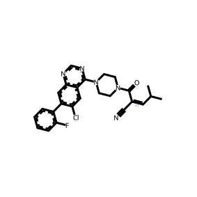 CC(C)/C=C(/C#N)C(=O)N1CCN(c2ncnc3cc(-c4ccccc4F)c(Cl)cc23)CC1